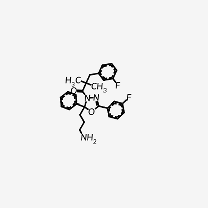 CC(C)(Cc1cccc(F)c1)C(=O)N1N=C(c2cccc(F)c2)OC1(CCCN)c1ccccc1